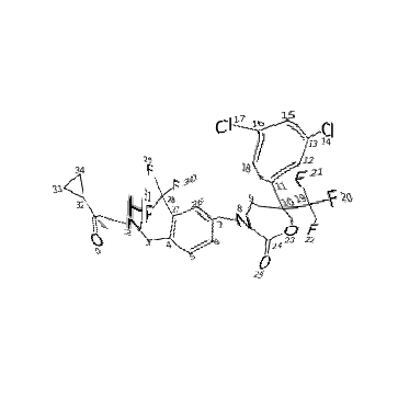 O=C(NCc1ccc(N2CC(c3cc(Cl)cc(Cl)c3)(C(F)(F)F)OC2=O)cc1C(F)(F)F)C1CC1